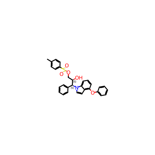 Cc1ccc(S(=O)(=O)OC[C@@H](O)[C@H](c2ccccc2)n2ccc3c(Oc4ccccc4)cccc32)cc1